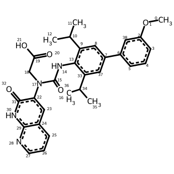 COc1cccc(-c2cc(C(C)C)c(NC(=O)N(CC(=O)O)c3cc4cccnc4[nH]c3=O)c(C(C)C)c2)c1